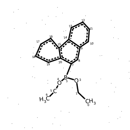 CCOB(OCC)c1cc2ccccc2c2ccccc12